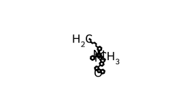 C=C/C=C\C=C/Cc1cccc(-c2nc(-c3ccccc3)nc(C3(C)C=Cc4ccc(-c5cccc6oc7ccccc7c56)cc4C3)n2)c1